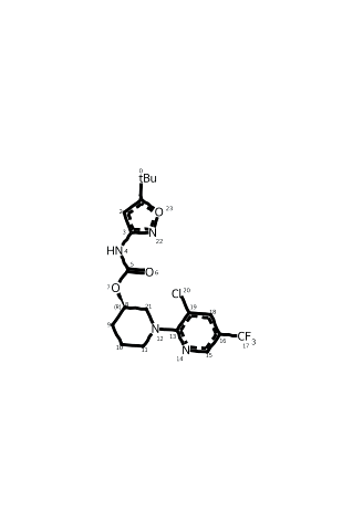 CC(C)(C)c1cc(NC(=O)O[C@@H]2CCCN(c3ncc(C(F)(F)F)cc3Cl)C2)no1